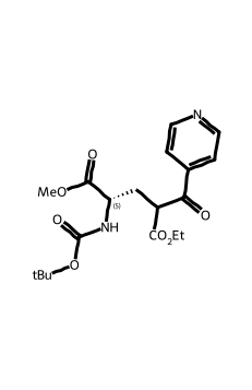 CCOC(=O)C(C[C@H](NC(=O)OC(C)(C)C)C(=O)OC)C(=O)c1ccncc1